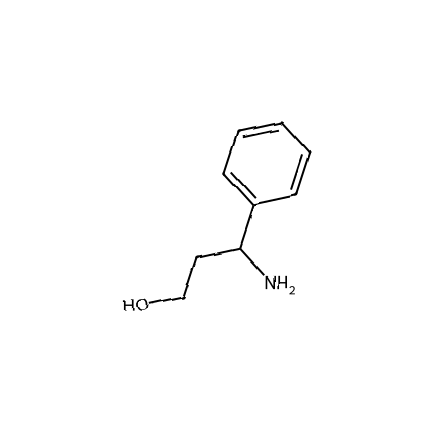 NC(CCO)c1ccccc1